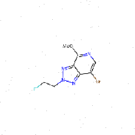 COc1ncc(Br)c2nn(CCF)nc12